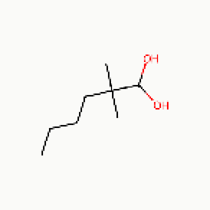 CCCCC(C)(C)[C](O)O